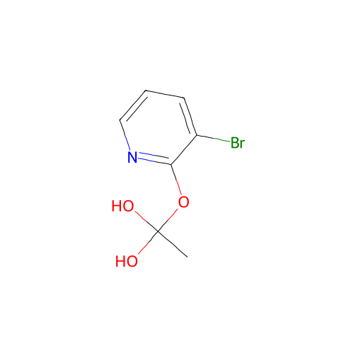 CC(O)(O)Oc1ncccc1Br